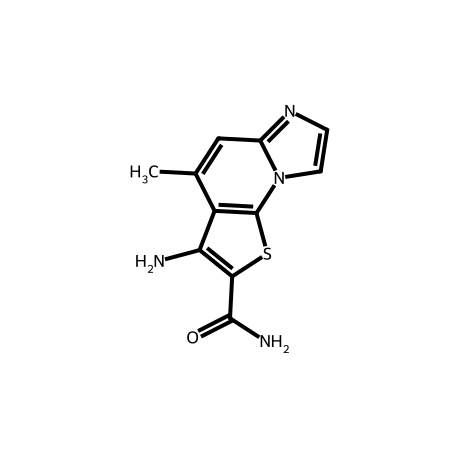 Cc1cc2nccn2c2sc(C(N)=O)c(N)c12